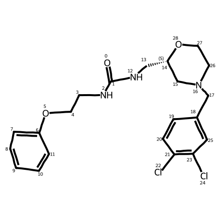 O=C(NCCOc1ccccc1)NC[C@H]1CN(Cc2ccc(Cl)c(Cl)c2)CCO1